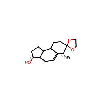 CCC[C@@H]1C2=CCC3C(CC[C@@H]3O)C2CCC12OCCO2